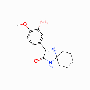 Bc1cc(C2=NC3(CCCCC3)NC2=O)ccc1OC